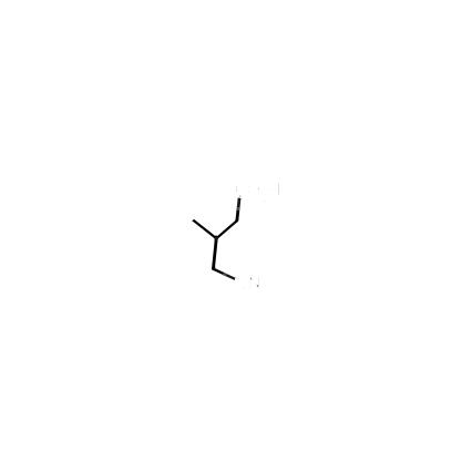 CC(CC#N)CC(=O)O